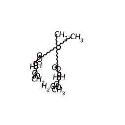 C=CC(=O)OCC1C[C@@H]2C3CC(CC3COC(=O)CCCCCCCCC3C(CCCCCCCCC(=O)OCC4CC5CC4[C@@H]4CC(COC(=O)C(=C)C)C[C@H]54)CCC(CCCCCCCC)C3CCCCCC)[C@@H]2C1